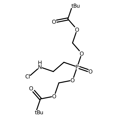 CC(C)(C)C(=O)OCOP(=O)(CCNCl)OCOC(=O)C(C)(C)C